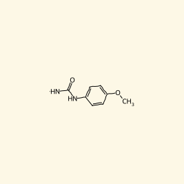 COc1ccc(NC([NH])=O)cc1